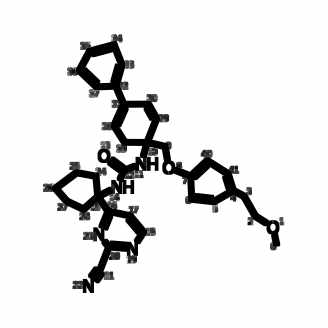 COCCc1ccc(OCC2(NC(=O)NC3(c4ccnc(C#N)n4)CCCCC3)C=CC(c3ccccc3)=CC2)cc1